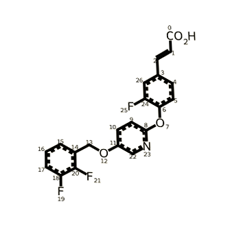 O=C(O)C=Cc1ccc(Oc2ccc(OCc3cccc(F)c3F)cn2)c(F)c1